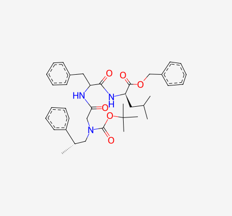 CC(C)C[C@@H](NC(=O)C(Cc1ccccc1)NC(=O)CN(C[C@H](C)c1ccccc1)C(=O)OC(C)(C)C)C(=O)OCc1ccccc1